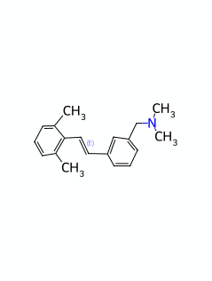 Cc1cccc(C)c1/C=C/c1cccc(CN(C)C)c1